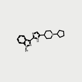 CC(C)n1nc(-c2ncc(C3CCN(C4CCCC4)CC3)[nH]2)c2ccccc21